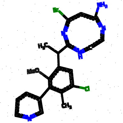 COc1c(C(C)c2nc(Br)cc(N)ncc[nH]2)cc(Cl)c(C)c1-c1cccnc1